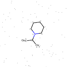 [CH2]C(C=O)N1CCCCC1